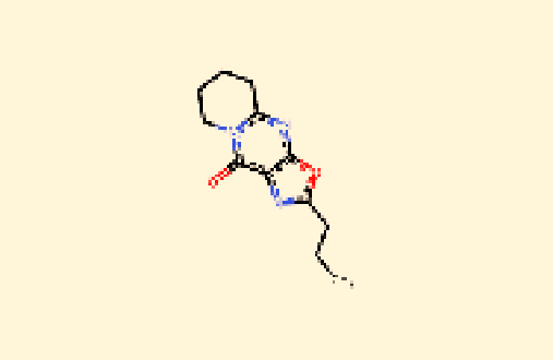 CCCc1nc2c(=O)n3c(nc2o1)CCCC3